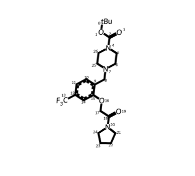 CC(C)(C)OC(=O)N1CCN(Cc2ccc(C(F)(F)F)cc2OCC(=O)N2CCCC2)CC1